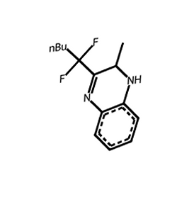 CCCCC(F)(F)C1=Nc2ccccc2NC1C